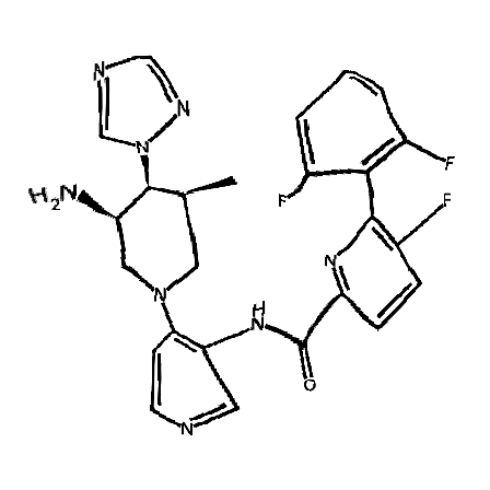 C[C@H]1CN(c2ccncc2NC(=O)c2ccc(F)c(-c3c(F)cccc3F)n2)C[C@@H](N)[C@H]1n1cncn1